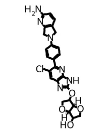 Nc1ccc2c(n1)CN(c1ccc(-c3nc4[nH]c(OC5CO[C@@H]6C(O)CO[C@H]56)nc4cc3Cl)cc1)C2